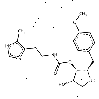 COc1ccc(C[C@H]2NC[C@H](O)[C@H]2OC(=O)NCCc2nc[nH]c2C)cc1